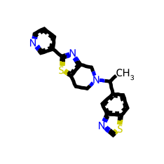 CC(c1ccc2scnc2c1)N1CCc2sc(-c3cccnc3)nc2C1